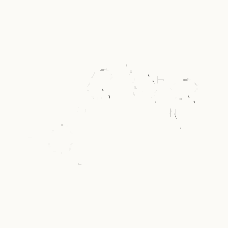 CC1CCN(c2ncccc2C(=O)NS(=O)(=O)c2cccc(OCc3cc(F)cc(F)c3)n2)C1(C)C